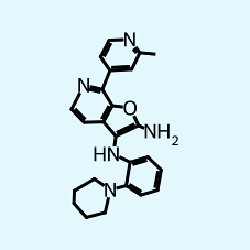 Cc1cc(-c2nccc3c(Nc4ccccc4N4CCCCC4)c(N)oc23)ccn1